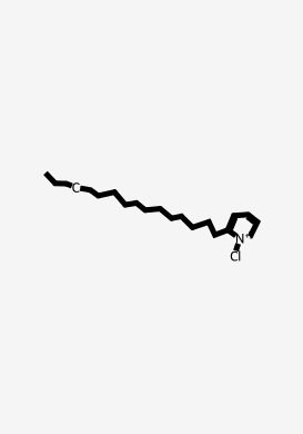 CCCCCCCCCCCCCCCCc1cccc[n+]1Cl